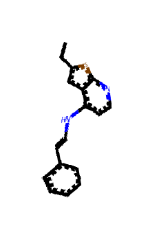 CCc1cc2c(NC=Cc3ccccc3)ccnc2s1